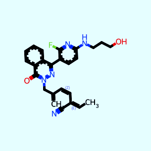 C=C(/C=C\C(C#N)=C/C)Cn1nc(-c2ccc(NCCCO)nc2F)c2ccccc2c1=O